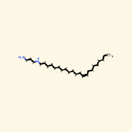 CCCCCCCC/C=C\CCCCCCCCCCCCNCCCN